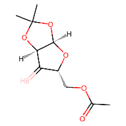 B=C1[C@H]2OC(C)(C)O[C@H]2O[C@@H]1COC(C)=O